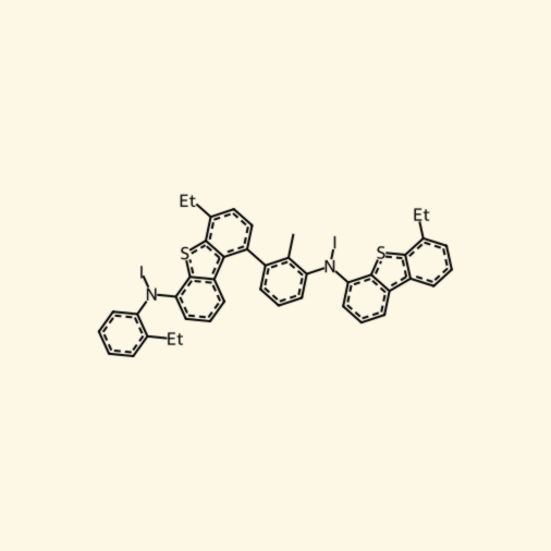 CCc1ccccc1N(I)c1cccc2c1sc1c(CC)ccc(-c3cccc(N(I)c4cccc5c4sc4c(CC)cccc45)c3C)c12